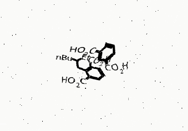 CCCCC(CC)Cc1c(C(=O)O)cccc1C(=O)O.O=C(O)c1cccc(C(=O)O)c1